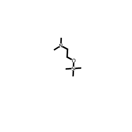 CN(C)CCO[Si](C)(C)C